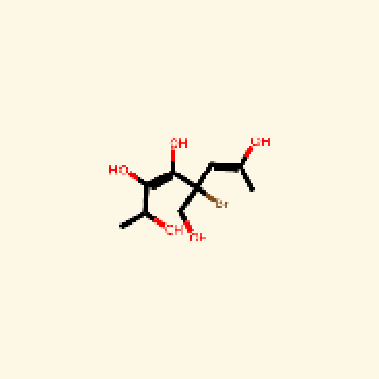 C/C(O)=C\C(Br)(CO)/C(O)=C(/O)C(C)O